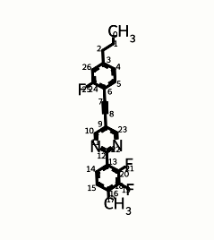 CCCc1ccc(C#Cc2cnc(-c3ccc(C)c(F)c3F)nc2)c(F)c1